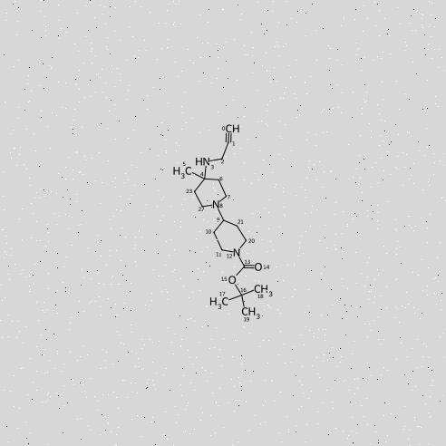 C#CCNC1(C)CCN(C2CCN(C(=O)OC(C)(C)C)CC2)CC1